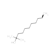 C=CCCCCCCCC(C)(C)O